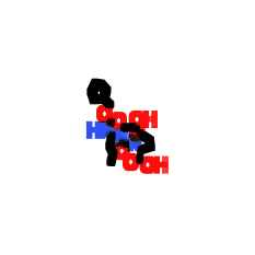 CCCC(NC(=O)OCc1ccccc1)N(CC(=O)O)C(=O)N1CCC[C@H]1C(=O)O